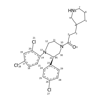 O=C(CCC1CCCNC1)N1CCN(c2ccc(Cl)cc2Cl)[C@H](c2ccc(Cl)cc2)C1